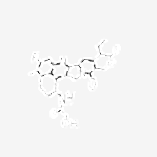 CCC1C(=O)OCc2c1cc1n(c2=O)Cc2c-1nc1cc(F)c(C)c3c1c2[C@@H](NC(=O)CO)CC3